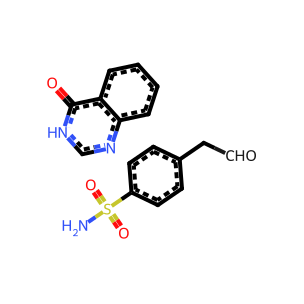 NS(=O)(=O)c1ccc(CC=O)cc1.O=c1[nH]cnc2ccccc12